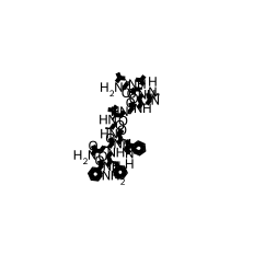 CC(C)C[C@H](NC(=O)[C@H](CC(C)C)NC(=O)[C@H](Cc1c[nH]cn1)NC(=O)CNC(=O)[C@@H](NC(=O)[C@H](C)NC(=O)[C@H](Cc1c[nH]c2ccccc12)NC(=O)[C@H](CCC(N)=O)NC(=O)[C@@H](Cc1ccccc1)NC(=O)c1ccccc1N)C(C)C)C(N)=O